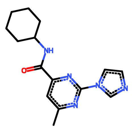 Cc1cc(C(=O)NC2CCCCC2)nc(-n2ccnc2)n1